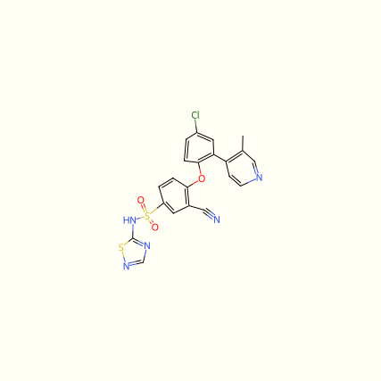 Cc1cnccc1-c1cc(Cl)ccc1Oc1ccc(S(=O)(=O)Nc2ncns2)cc1C#N